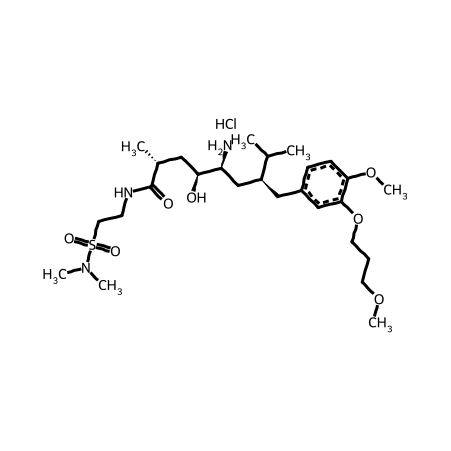 COCCCOc1cc(C[C@@H](C[C@H](N)[C@@H](O)C[C@@H](C)C(=O)NCCS(=O)(=O)N(C)C)C(C)C)ccc1OC.Cl